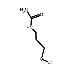 CCOCCCNC(N)=O